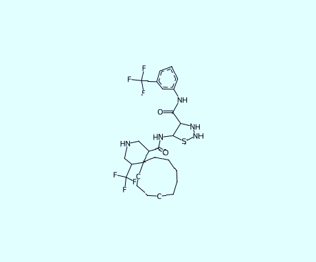 O=C(Nc1cccc(C(F)(F)F)c1)C1NNSC1NC(=O)C1CNCC(C(F)(F)F)C12CCCCCCCCC2